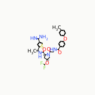 Cc1ccc(Oc2ccc(C(=O)NCC(=O)N3C[C@H](OC(F)F)C[C@H]3C(=O)N[C@H](C)c3cc(C(=N)N)cs3)cc2)cc1